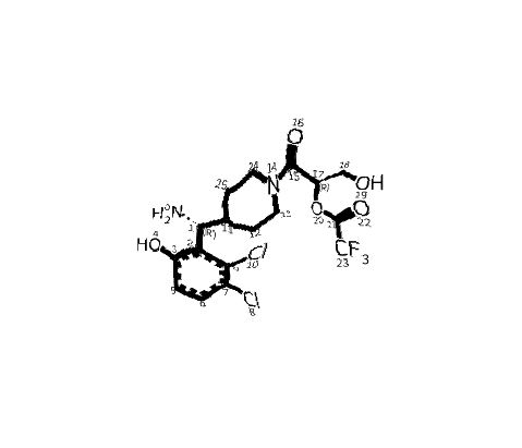 N[C@@H](c1c(O)ccc(Cl)c1Cl)C1CCN(C(=O)[C@@H](CO)OC(=O)C(F)(F)F)CC1